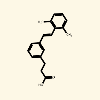 Cc1cccc(C)c1C=Cc1cccc(CCC(=O)O)c1